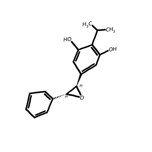 CC(C)c1c(O)cc([C@H]2O[C@@H]2c2ccccc2)cc1O